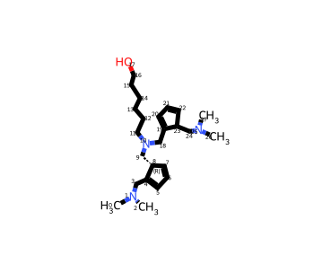 CN(C)CC1=CC=C[C@H]1CN(CCCCCCO)CC1=CC=CC1CN(C)C